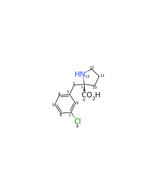 O=C(O)[C@]1(Cc2cccc(Cl)c2)CCCN1